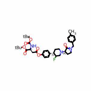 Cc1ccc(CN2CC[C@@H](N3CC[C@@H](c4ccc(OC(=O)C[C@H](NC(=O)OC(C)(C)C)C(=O)OC(C)(C)C)cc4)C(F)C3)C2=O)cc1